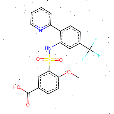 COc1ccc(C(=O)O)cc1S(=O)(=O)Nc1cc(C(F)(F)F)ccc1-c1ccccn1